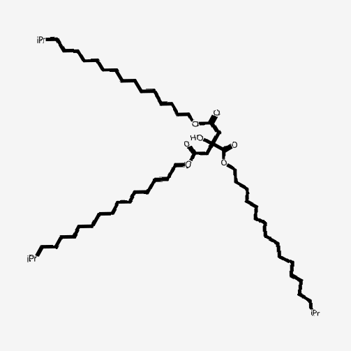 CC(C)CCCCCCCCCCCCCCCOC(=O)CC(O)(CC(=O)OCCCCCCCCCCCCCCCC(C)C)C(=O)OCCCCCCCCCCCCCCCC(C)C